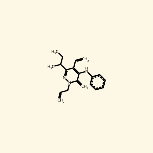 C=CCN1N=C(C(C)CC)C(C=C)=C(Nc2ccccc2)C1=C